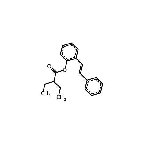 CCC(CC)C(=O)Oc1ccccc1C=Cc1ccccc1